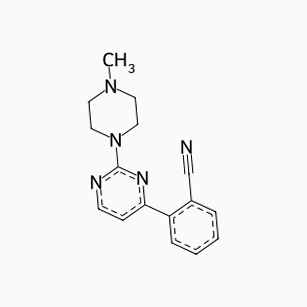 CN1CCN(c2nccc(-c3ccccc3C#N)n2)CC1